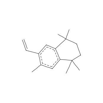 C=Cc1cc2c(cc1C)C(C)(C)CCC2(C)C